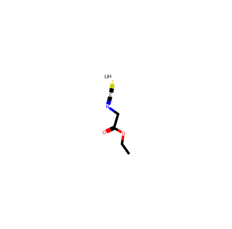 CCOC(=O)CN=C=S.[LiH]